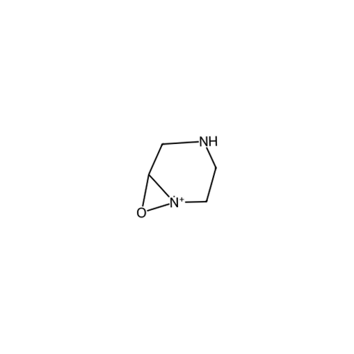 C1C[N+]2OC2CN1